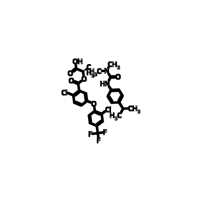 CC(C)c1ccc(NC(=O)N(C)C)cc1.C[C@H](OC(=O)c1cc(Oc2ccc(C(F)(F)F)cc2Cl)ccc1Cl)C(=O)O